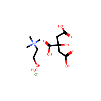 C[N+](C)(C)CCO.O.O=C(O)CC(O)(CC(=O)O)C(=O)O.[Cl-]